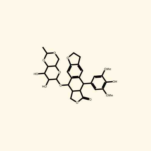 COc1cc(C2c3cc4c(cc3C(OC3OC5COC(C)OC5C(O)C3O)C3COC(=O)C23)OCC4)cc(OC)c1O